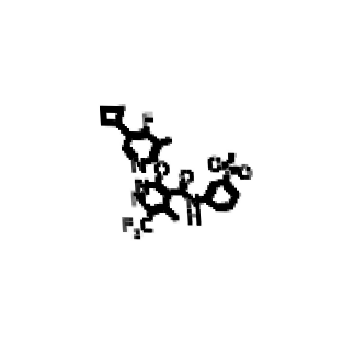 Cc1c(Oc2nnc(C(F)(F)F)c(C)c2C(=O)Nc2cccc(S(C)(=O)=O)c2)ncc(C2CCC2)c1F